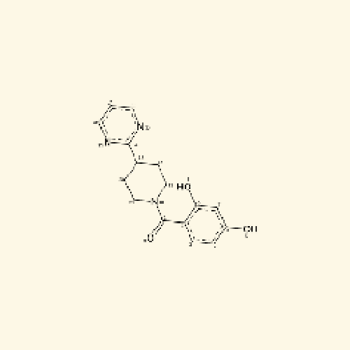 O=C(c1ccc(O)cc1O)N1CCC(c2ncccn2)CC1